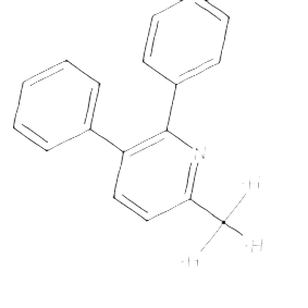 [2H]C([2H])([2H])c1ccc(-c2ccccc2)c(-c2ccccc2)n1